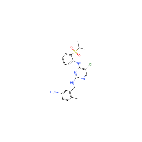 Cc1ccc(N)cc1CNc1ncc(Cl)c(Nc2ccccc2S(=O)(=O)C(C)C)n1